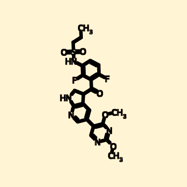 CCCS(=O)(=O)Nc1ccc(F)c(C(=O)C2CNc3ncc(-c4cnc(OC)nc4OC)cc32)c1F